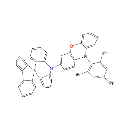 CC(C)c1cc(C(C)C)c(B2c3ccccc3Oc3cc(N4c5ccccc5[Si]5(c6ccccc6-c6ccccc65)c5ccccc54)ccc32)c(C(C)C)c1